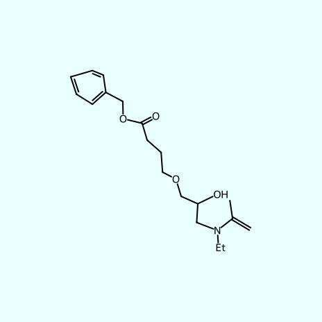 C=C(C)N(CC)CC(O)COCCCC(=O)OCc1ccccc1